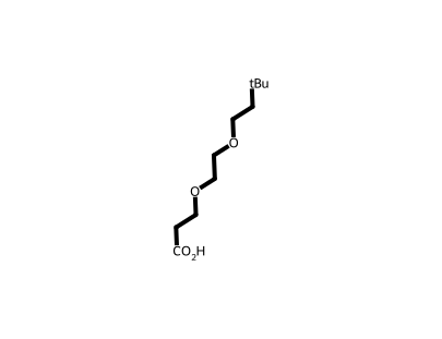 CC(C)(C)CCOCCOCCC(=O)O